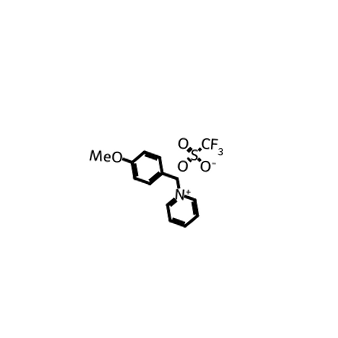 COc1ccc(C[n+]2ccccc2)cc1.O=S(=O)([O-])C(F)(F)F